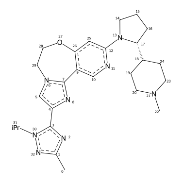 Cc1nc(-c2cn3c(n2)-c2cnc(N4CCC[C@@H]4C4CCN(C)CC4)cc2OCC3)n(C(C)C)n1